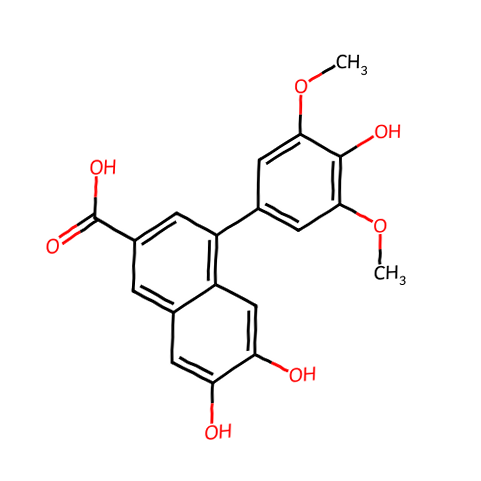 COc1cc(-c2cc(C(=O)O)cc3cc(O)c(O)cc23)cc(OC)c1O